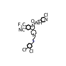 N#Cc1cc2c(cc1C(F)(F)F)N(C(=O)NCc1ccnc(Cl)c1)CC21CCN(C/C=C/c2ccc(Cl)c(Cl)c2)CC1